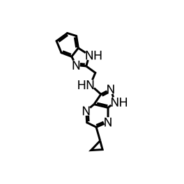 c1ccc2[nH]c(CNc3n[nH]c4nc(C5CC5)cnc34)nc2c1